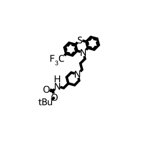 CC(C)(C)OC(=O)NCC1CCN(CCCN2c3ccccc3Sc3ccc(C(F)(F)F)cc32)CC1